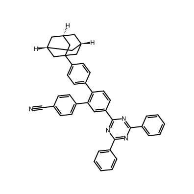 N#Cc1ccc(-c2cc(-c3nc(-c4ccccc4)nc(-c4ccccc4)n3)ccc2-c2ccc(C34C[C@H]5C[C@@H](C3)C[C@@H](C4)C5)cc2)cc1